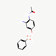 CC(=O)Nc1ccc(OS(=O)(=O)c2ccccc2)cc1N